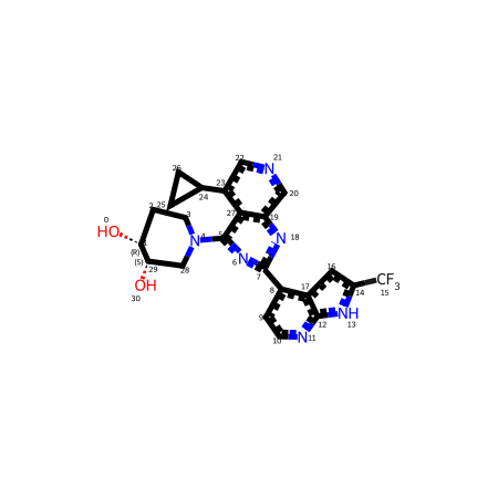 O[C@@H]1CCN(c2nc(-c3ccnc4[nH]c(C(F)(F)F)cc34)nc3cncc(C4CC4)c23)C[C@@H]1O